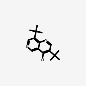 CC(C)(C)c1cnc2c(C(C)(C)C)cncc2c1Cl